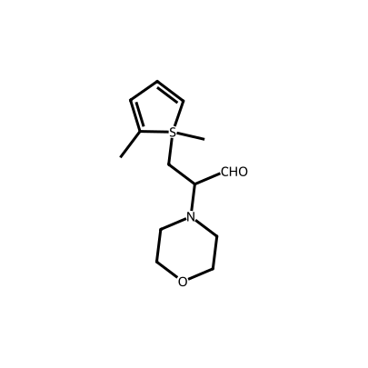 CC1=CC=CS1(C)CC(C=O)N1CCOCC1